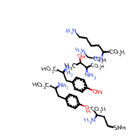 CC(O)C(N)C(=O)O.CSCCC(N)C(=O)O.NC(Cc1ccc(O)cc1)C(=O)O.NC(Cc1ccc(O)cc1)C(=O)O.NCC(=O)O.NCCCCC(N)C(=O)O